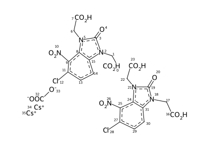 O=C(O)Cn1c(=O)n(CC(=O)O)c2c([N+](=O)[O-])c(Cl)ccc21.O=C(O)Cn1c(=O)n(CC(=O)O)c2c([N+](=O)[O-])c(Cl)ccc21.O=C([O-])[O-].[Cs+].[Cs+]